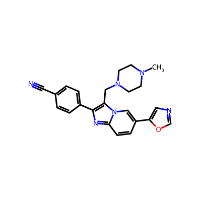 CN1CCN(Cc2c(-c3ccc(C#N)cc3)nc3ccc(-c4cnco4)cn23)CC1